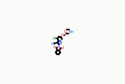 N#Cc1c(N2C(=O)c3ccccc3C2=O)nn2cc(OC[C@@H]3CNCCO3)cc(Cl)c12